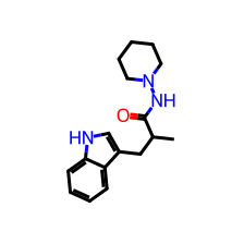 CC(Cc1c[nH]c2ccccc12)C(=O)NN1CCCCC1